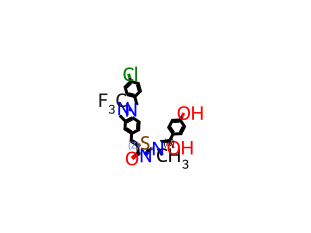 CN(C[C@H](O)c1ccc(O)cc1)C1=NC(=O)/C(=C/c2ccc3c(cnn3Cc3ccc(Cl)cc3C(F)(F)F)c2)S1